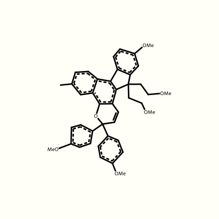 COCCC1(CCOC)c2cc(OC)ccc2-c2c1c1c(c3cc(C)ccc23)OC(c2ccc(OC)cc2)(c2ccc(OC)cc2)C=C1